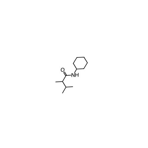 CC(C)C(C)C(=O)NC1CCCCC1